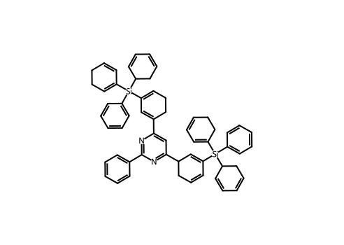 C1=CCCC([Si](C2=CC(c3cc(C4=CC([Si](C5=CCCC=C5)(c5ccccc5)C5C=CC=CC5)=CCC4)nc(-c4ccccc4)n3)CC=C2)(c2ccccc2)C2C=CC=CC2)=C1